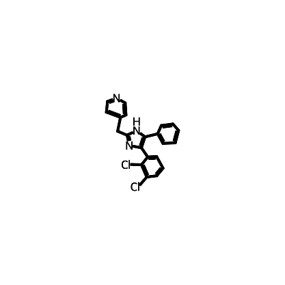 Clc1cccc(-c2nc(Cc3ccncc3)[nH]c2-c2ccccc2)c1Cl